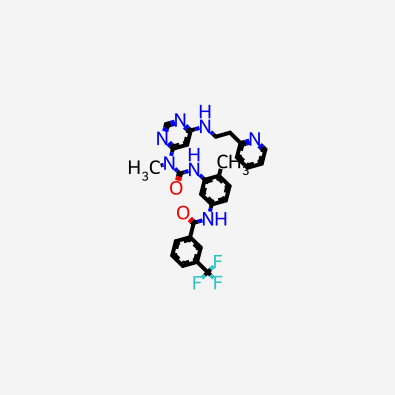 Cc1ccc(NC(=O)c2cccc(C(F)(F)F)c2)cc1NC(=O)N(C)c1cc(NCCc2ccccn2)ncn1